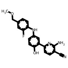 COCc1ccc(Nc2ccc(O)c(-c3ccc(C#N)c(N)n3)c2)c(F)c1